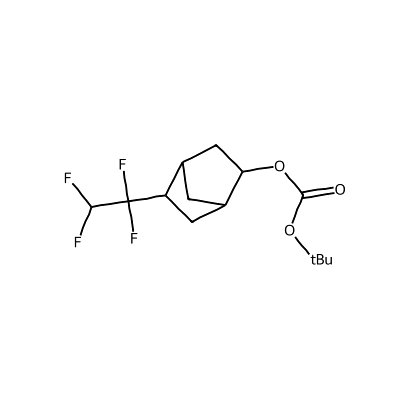 CC(C)(C)OC(=O)OC1CC2CC1CC2C(F)(F)C(F)F